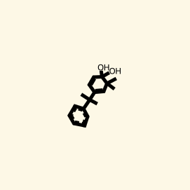 CC(C)(C1=CC(C)(C)C(O)(O)C=C1)c1ccccc1